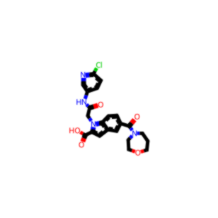 O=C(Cn1c(C(=O)O)cc2cc(C(=O)N3CCCOCC3)ccc21)Nc1ccc(Cl)nc1